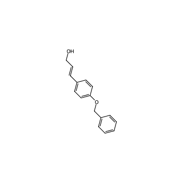 OCC=Cc1ccc(OCc2ccccc2)cc1